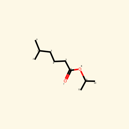 CC(C)CCCC(=O)OC(C)C